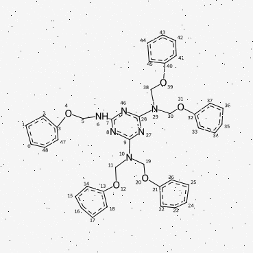 c1ccc(OCNc2nc(N(COc3ccccc3)COc3ccccc3)nc(N(COc3ccccc3)COc3ccccc3)n2)cc1